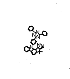 CC1(C)c2cncnc2-c2c1ccc1c3ccccc3n(-c3ccc(-c4nc(-c5ccccc5)nc(-c5ccccc5)n4)cc3)c21